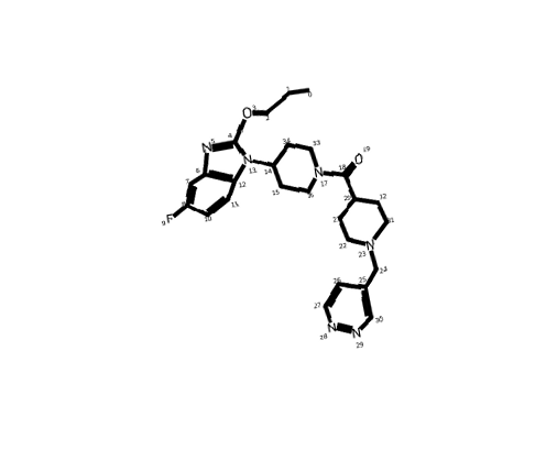 CCCOc1nc2cc(F)ccc2n1C1CCN(C(=O)C2CCN(Cc3ccnnc3)CC2)CC1